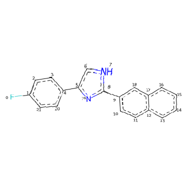 Fc1ccc(-c2c[nH]c(-c3ccc4ccccc4c3)n2)cc1